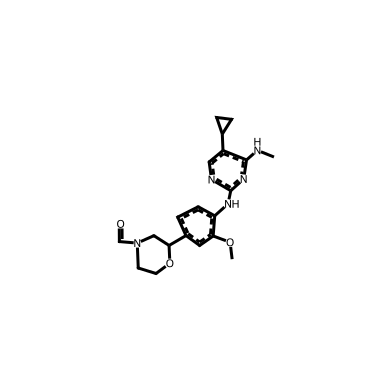 CNc1nc(Nc2ccc(C3CN(C=O)CCO3)cc2OC)ncc1C1CC1